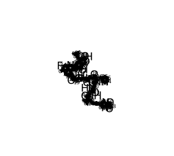 Cc1c(F)cc2nc3c(c4c2c1CC[C@@H]4NC(=O)[C@H](C)OCNC(=O)CNC(=O)[C@H](Cc1ccccc1)NC(=O)CNC(=O)CNC(=O)C1(CCC#Cc2cnc(S(C)(=O)=O)nc2)CC1)Cn1c-3cc2c(c1=O)COC(=O)[C@]2(O)CC1CC1